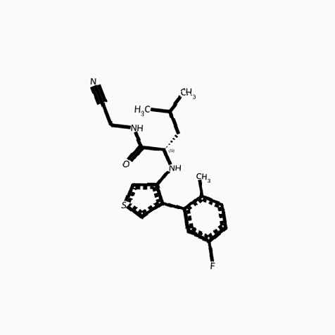 Cc1ccc(F)cc1-c1cscc1N[C@@H](CC(C)C)C(=O)NCC#N